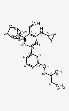 N=Cc1c(NC2CC2)nc(-c2cccc(OCC(O)CN)c2)nc1N1C2CCC1OC2